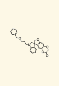 O=C1COc2cc3c(cc2O1)C1(CO3)CN(CCCOCc2ccccc2)c2ccccc21